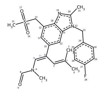 CC(C)=C/C(=C\N(C)C=O)c1cc(CS(C)(=O)=O)c2nc(C)n(Cc3ccc(F)cc3)c2c1